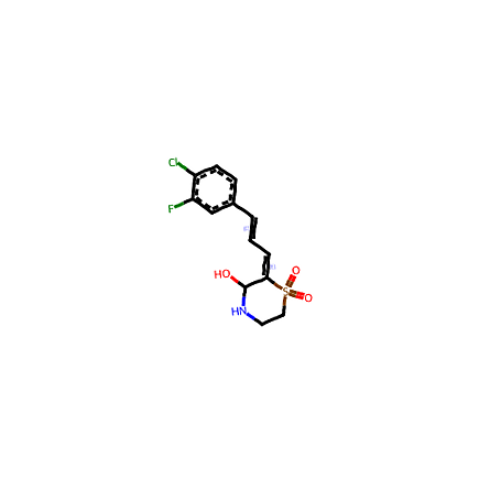 O=S1(=O)CCNC(O)/C1=C\C=C\c1ccc(Cl)c(F)c1